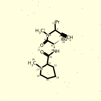 C#CC(C(C)C)N(C)C(=O)[C@@H](NC(=O)C1CCCCN1C)[C@@H](C)CC